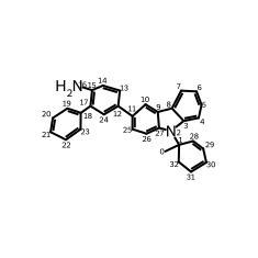 CC1(n2c3ccccc3c3cc(-c4ccc(N)c(-c5ccccc5)c4)ccc32)C=CC=CC1